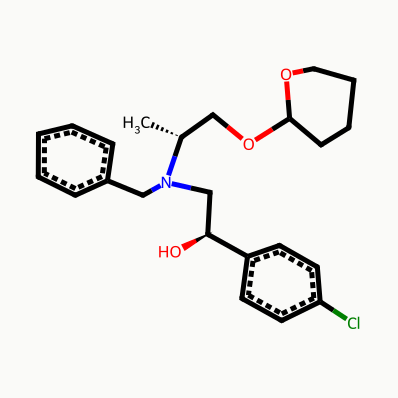 C[C@H](COC1CCCCO1)N(Cc1ccccc1)C[C@H](O)c1ccc(Cl)cc1